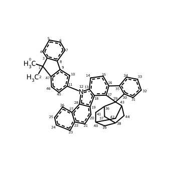 CC1(C)c2ccccc2-c2cc(-n3c4ccc5c(c4c4ccc6ccccc6c43)C3(c4ccccc4-5)C4CC5CC(C4)CC3C5)ccc21